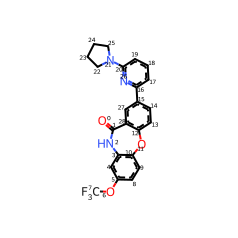 O=C1Nc2cc(OC(F)(F)F)ccc2Oc2ccc(-c3cccc(N4CCCC4)n3)cc21